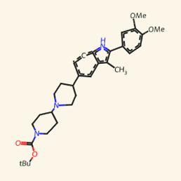 COc1ccc(-c2[nH]c3ccc(C4CCN(C5CCN(C(=O)OC(C)(C)C)CC5)CC4)cc3c2C)cc1OC